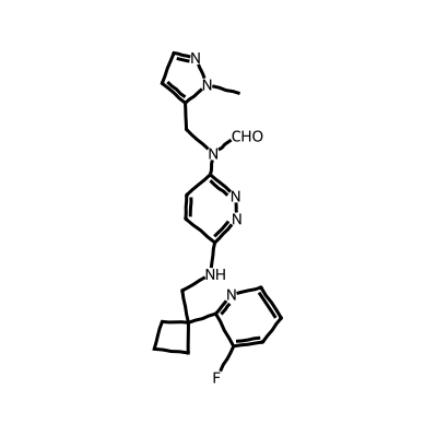 Cn1nccc1CN(C=O)c1ccc(NCC2(c3ncccc3F)CCC2)nn1